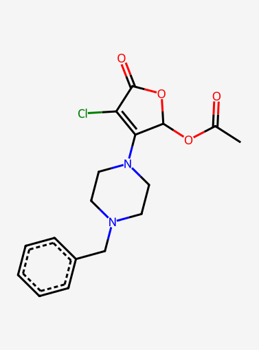 CC(=O)OC1OC(=O)C(Cl)=C1N1CCN(Cc2ccccc2)CC1